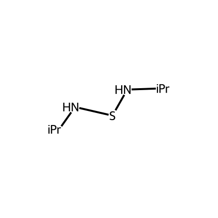 CC(C)NSNC(C)C